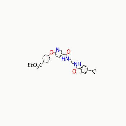 CCOC(=O)[C@H]1CC[C@@H](Oc2ccc(C(=O)NCCNC(=O)c3ccc(C4CC4)cc3)cn2)CC1